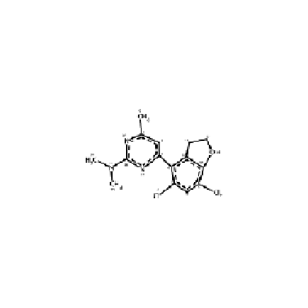 Cc1cc(-c2c(Cl)cc(Cl)c3c2CCO3)nc(N(C)C)n1